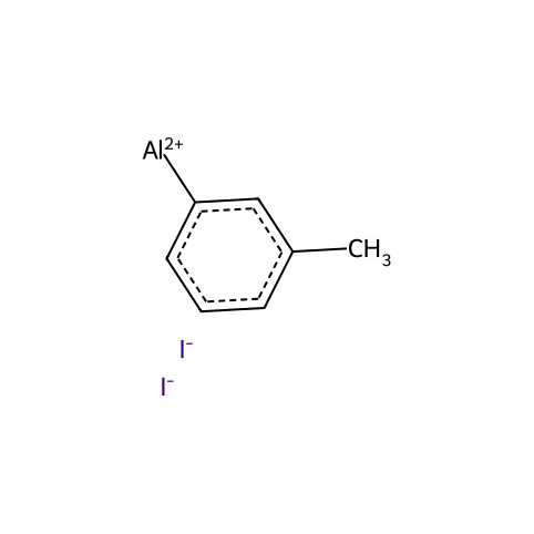 Cc1ccc[c]([Al+2])c1.[I-].[I-]